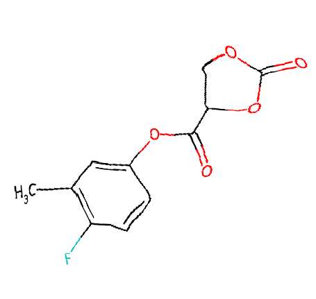 Cc1cc(OC(=O)C2COC(=O)O2)ccc1F